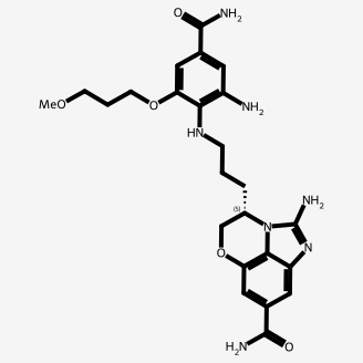 COCCCOc1cc(C(N)=O)cc(N)c1NCCC[C@H]1COc2cc(C(N)=O)cc3nc(N)n1c23